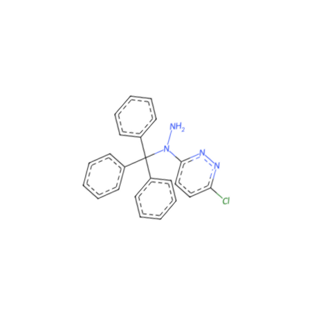 NN(c1ccc(Cl)nn1)C(c1ccccc1)(c1ccccc1)c1ccccc1